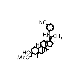 COC[C@@]1(O)CC[C@H]2[C@H](CC[C@@H]3[C@@H]2CC[C@]2(C)C([C@H](C)Nc4cccc(C#N)c4)CC[C@@H]32)C1